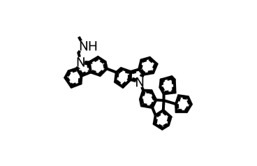 CNCn1c2ccccc2c2cc(-c3ccc4c(c3)c3ccccc3n4-c3ccc4c(c3)C(c3ccccc3)(c3ccccc3)c3ccccc3-4)ccc21